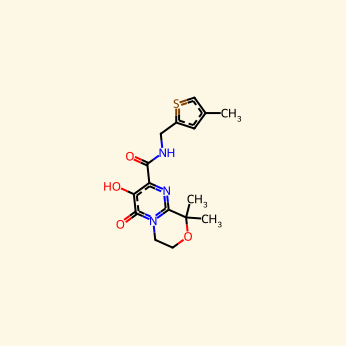 Cc1csc(CNC(=O)c2nc3n(c(=O)c2O)CCOC3(C)C)c1